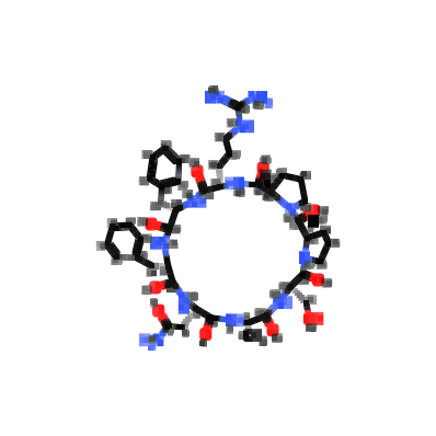 C[C@@H]1NC(=O)[C@H](CC(N)=O)NC(=O)[C@H](Cc2ccccc2)NC(=O)[C@H](Cc2ccccc2)NC(=O)[C@H](CCCNC(=N)N)NC(=O)[C@@H]2CCCN2C(=O)[C@H]2CCCN2C(=O)[C@H](CO)NC1=O